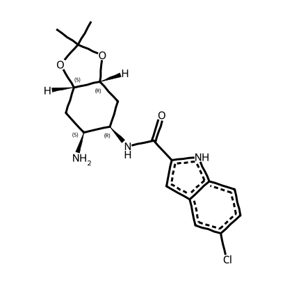 CC1(C)O[C@H]2C[C@H](N)[C@H](NC(=O)c3cc4cc(Cl)ccc4[nH]3)C[C@H]2O1